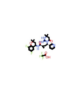 CC1(C)CC(=O)N([C@H](c2cccnc2)[C@@H]2C[C@H]2C(=O)NC2CC(C)(C)Oc3c(F)cc(F)cc32)C(=N)N1.O=C(O)C(F)(F)F